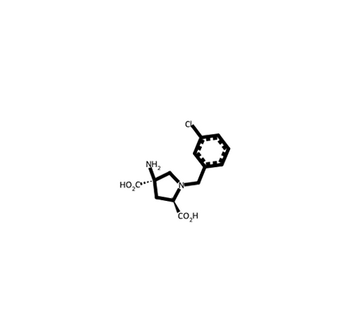 N[C@]1(C(=O)O)C[C@H](C(=O)O)N(Cc2cccc(Cl)c2)C1